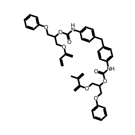 C=CC(=C)OCC(COc1ccccc1)OC(=O)Nc1ccc(Cc2ccc(NC(=O)OC(COC(=C)C(=C)C)COc3ccccc3)cc2)cc1